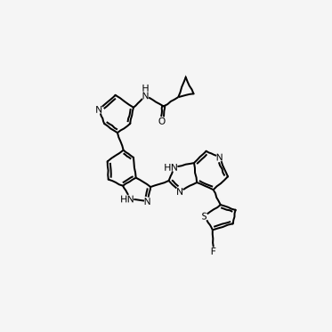 O=C(Nc1cncc(-c2ccc3[nH]nc(-c4nc5c(-c6ccc(F)s6)cncc5[nH]4)c3c2)c1)C1CC1